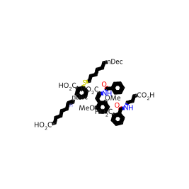 CCCCCCCCCC/C=C/CCCCCC(=O)O.CCCCCCCCCCCCCCCCSc1ccccc1C(=O)O.COc1cccc(OC)c1C=C(NC(=O)c1ccccc1)C(=O)O.O=C(O)CCCNC(=O)c1ccccc1C(=O)O